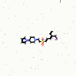 C=C/C(=C\C=C\S(=O)(=O)CCN1CCC(n2cccc2)CC1)CI